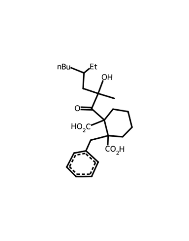 CCCCC(CC)CC(C)(O)C(=O)C1(C(=O)O)CCCCC1(Cc1ccccc1)C(=O)O